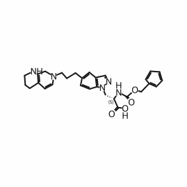 O=C(N[C@@H](Cn1ncc2cc(CCCN3C=CC4=C(C3)NCCC4)ccc21)C(=O)O)OCc1ccccc1